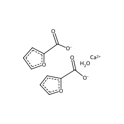 O.O=C([O-])c1ccco1.O=C([O-])c1ccco1.[Ca+2]